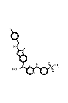 CN(c1ccc2c(c1)nc(NCc1ccc(Cl)cc1)n2C)c1ccnc(Nc2cccc(S(N)(=O)=O)c2)n1.Cl